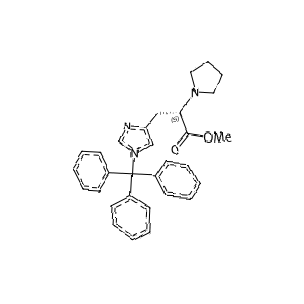 COC(=O)[C@H](Cc1cn(C(c2ccccc2)(c2ccccc2)c2ccccc2)cn1)N1CCCC1